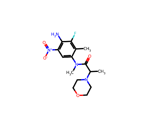 Cc1c(N(C)C(=O)C(C)N2CCOCC2)cc([N+](=O)[O-])c(N)c1F